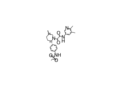 Cc1cc(NC(=O)C(=O)N2C[C@H](C)CC[C@H]2c2ccc(NS(C)(=O)=O)cc2)cnc1C